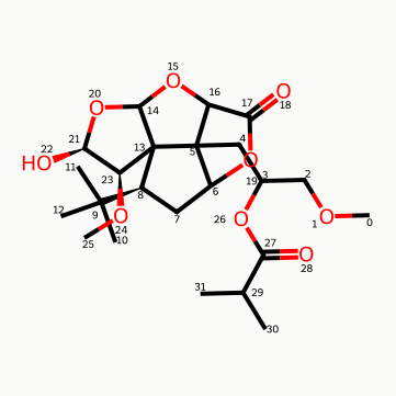 COCC(CC12C3C[C@@H](C(C)(C)C)C14C(OC2C(=O)O3)O[C@H](O)[C@@H]4OC)OC(=O)C(C)C